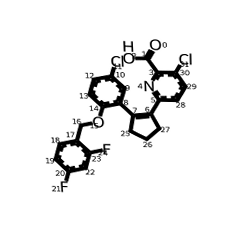 O=C(O)c1nc(C2=C(c3cc(Cl)ccc3OCc3ccc(F)cc3F)CCC2)ccc1Cl